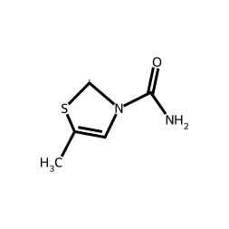 CC1=CN(C(N)=O)[CH]S1